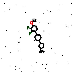 CCCC1CCC(C2CC=C(c3ccc(OCC)c(F)c3F)CC2)C1